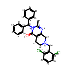 Cc1nc2c(c(=O)n1C(c1ccccc1)c1ccccc1)CCN(Cc1c(Cl)cccc1Cl)C2